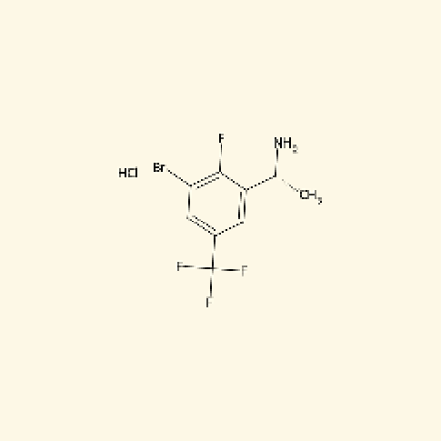 C[C@@H](N)c1cc(C(F)(F)F)cc(Br)c1F.Cl